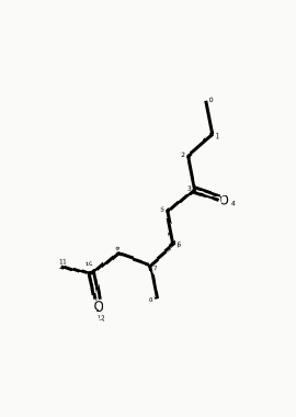 CCCC(=O)CCC(C)CC(C)=O